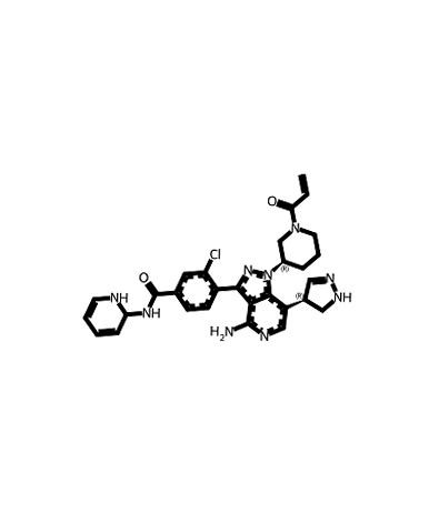 C=CC(=O)N1CCC[C@@H](n2nc(-c3ccc(C(=O)NC4C=CC=CN4)cc3Cl)c3c(N)ncc([C@H]4C=NNC4)c32)C1